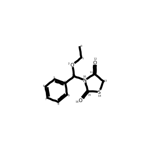 CCOC(c1ccccc1)N1C(=O)CSC1=O